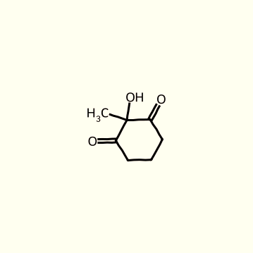 CC1(O)C(=O)CCCC1=O